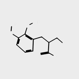 CCC(Cc1cccc(OC)c1OC)C(=O)O